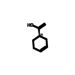 C=C(O)[C@H]1CC=CCC1